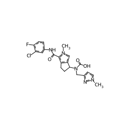 Cn1ccc(CN(C(=O)O)C2CCc3c2cn(C)c3C(=O)Nc2ccc(F)c(Cl)c2)n1